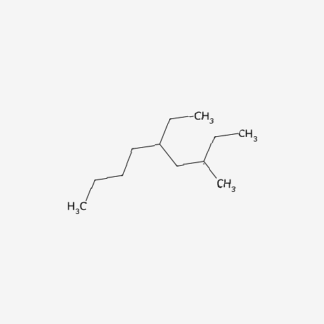 CCCCC(CC)C[C](C)CC